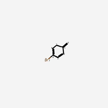 C=C1C=CC(Br)=CC1